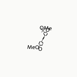 COCC1(C)CCOc2ccc(C#Cc3ccc(C(=O)OC)cc3)cc21